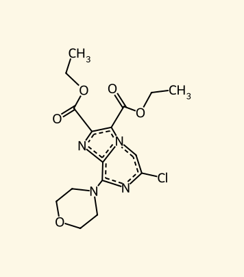 CCOC(=O)c1nc2c(N3CCOCC3)nc(Cl)cn2c1C(=O)OCC